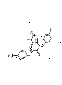 CCN(C)C(C)C(=O)N[C@@H](Cc1ccc(F)cc1)C(=O)NCc1ccc(N)nc1